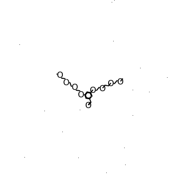 COCCOCCOCCOc1cc(C=O)cc(OCCOCCOCCOC)c1